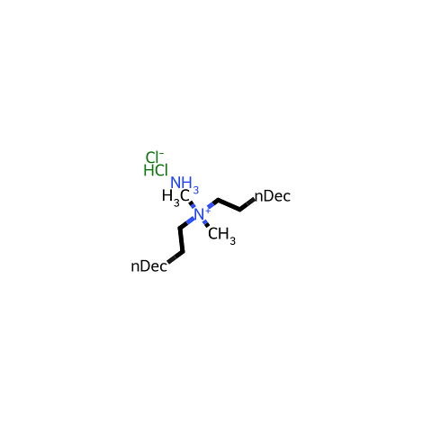 CCCCCCCCCCCC[N+](C)(C)CCCCCCCCCCCC.Cl.N.[Cl-]